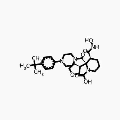 CC(C)(C)c1ccc(N2CCN(C(=O)[C@]3([C@@H]4CCOC4)[C@@H](C(=O)NO)CCCN3C(=O)O)CC2)cc1